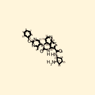 Cc1nc(Oc2ccccc2)ncc1N1C(=O)Nc2c(C(=O)N[C@@H]3CCC[C@@H]3N)sc3nccc1c23